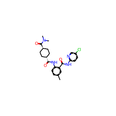 Cc1ccc(NC(=O)[C@H]2CC[C@H](C(=O)N(C)C)CC2)c(C(=O)Nc2ccc(Cl)cn2)c1